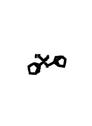 S=P(S)(SC1CC2CCC1C2)C1CC2CCC1C2